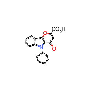 O=C(O)c1cc(=O)c2c(o1)c1ccccc1n2-c1ccccc1